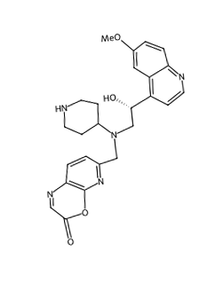 COc1ccc2nccc([C@@H](O)CN(Cc3ccc4ncc(=O)oc4n3)C3CCNCC3)c2c1